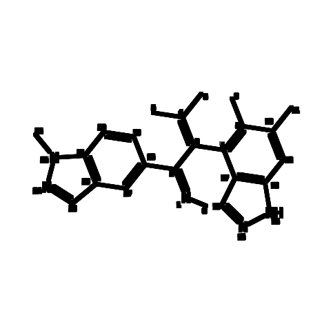 C/N=C(\C(=C(C)C)c1c(C)c(C)cc2[nH]ncc12)c1ccc2c(cnn2C)c1